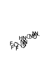 Cc1nnc(N2CCC(Nc3nc4c(-c5ccc(F)c(F)c5F)cccn4n3)CC2)o1